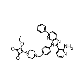 CCOc1c(N2CCN(Cc3ccc(-n4c(-c5cccnc5N)nc5ccc(-c6ccccc6)nc54)cc3)CC2)c(=O)c1=O